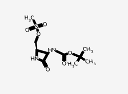 CC(C)(C)OC(=O)N[C@H]1C(=O)N[C@H]1COS(C)(=O)=O